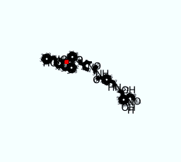 O=C(NCC(=O)N1CCC(COc2cccc([C@@](O)(C(=O)O)c3ccccc3CC3CCN(Cc4ccccc4)CC3)c2)CC1)c1ccc(CCNC[C@H](O)c2ccc(O)c3[nH]c(=O)ccc23)cc1